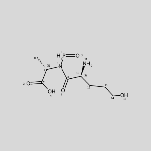 C[C@@H](C(=O)O)N([PH2]=O)C(=O)[C@@H](N)CCCO